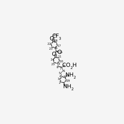 Nc1ccc(CCC(=Cc2ccc(OC(=O)c3ccc(OC(F)(F)F)cc3)cc2)C(=O)O)c(N)c1